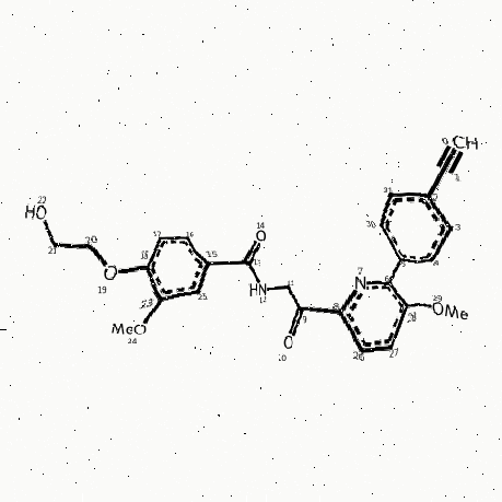 C#Cc1ccc(-c2nc(C(=O)CNC(=O)c3ccc(OCCO)c(OC)c3)ccc2OC)cc1